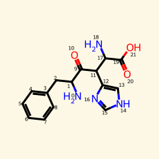 NC(Cc1ccccc1)C(=O)C(c1c[nH]cn1)C(N)C(=O)O